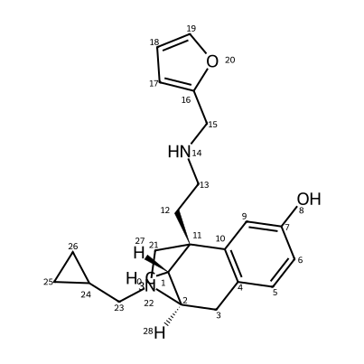 C[C@H]1[C@H]2Cc3ccc(O)cc3[C@@]1(CCNCc1ccco1)CN2CC1CC1